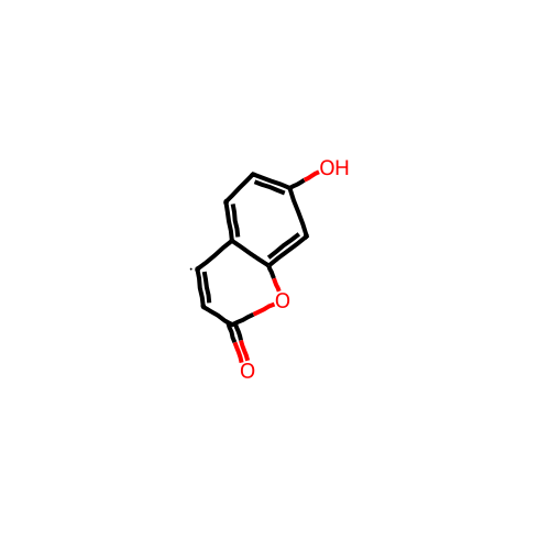 O=c1c[c]c2ccc(O)cc2o1